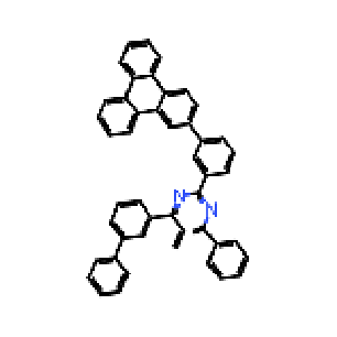 C=C/C(=N\C(=N/C(=C)c1ccccc1)c1cccc(-c2ccc3c4ccccc4c4ccccc4c3c2)c1)c1cccc(-c2ccccc2)c1